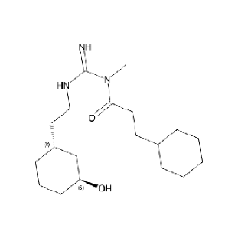 CN(C(=N)NCC[C@H]1CCC[C@H](O)C1)C(=O)CCC1CCCCC1